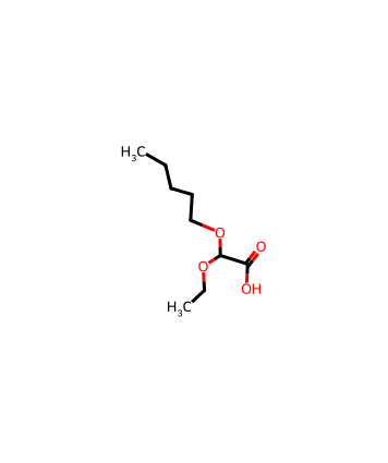 CCCCCOC(OCC)C(=O)O